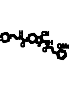 COc1ccccc1CCC(=O)Nc1sc2c(c1C#N)CCN(C(=O)NCCN1CCOCC1)C2